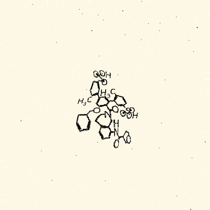 Cc1ccc(S(=O)(=O)O)cc1-c1cc(OCc2ccccc2)c(C(=O)N2CCc3cccc(NC(=O)C4CCOC4)c3C2)c(-c2cc(S(=O)(=O)O)ccc2C)c1